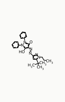 CCCn1nc(N=Nc2c(O)n(-c3ccccc3)n(-c3ccccc3)c2=O)cc1C(C)(C)C